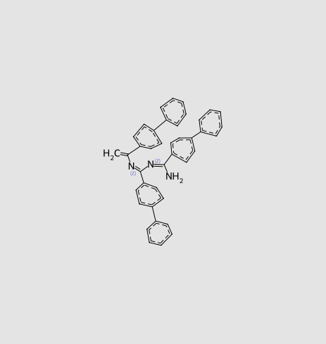 C=C(/N=C(\N=C(/N)c1ccc(-c2ccccc2)cc1)c1ccc(-c2ccccc2)cc1)c1ccc(-c2ccccc2)cc1